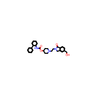 O=C(Nc1ccccc1-c1ccccc1)OC1CCN(CCN2Cc3cc(CO)ccc3C2=O)CC1